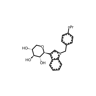 CCCc1ccc(Cn2cc([C@@H]3OC[C@@H](O)[C@H](O)[C@H]3O)c3ccccc32)cc1